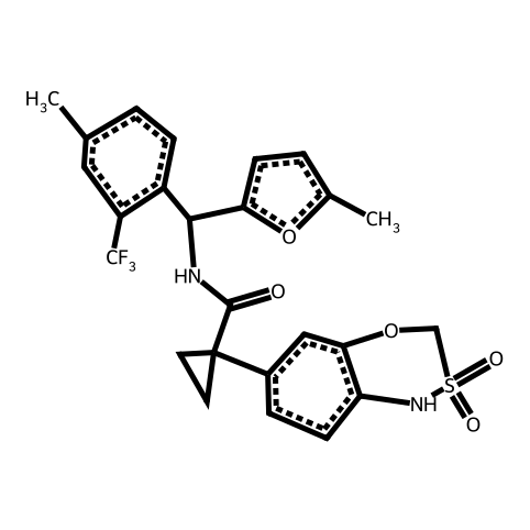 Cc1ccc(C(NC(=O)C2(c3ccc4c(c3)OCS(=O)(=O)N4)CC2)c2ccc(C)o2)c(C(F)(F)F)c1